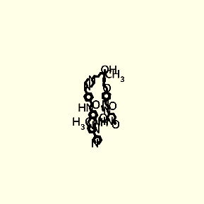 Cc1cc(NC(=O)c2ccc(CN3CCN(CCCC(C)(O)C#CCOc4ccc(N5CCN(C6CCC(=O)NC6=O)C5=O)cc4)CC3)cc2)ccc1Nc1nccc(-c2cccnc2)n1